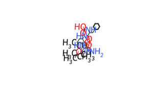 CC(C)CC(NC(=O)C(Cc1ccccc1)NC(=O)O)C(=O)NC(C(=O)NN)C(C)OC(C)(C)C